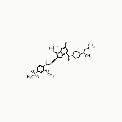 CCCC(C)N1CCC(Nc2cc(F)cc3c2cc(C#CCNc2ccc(S(C)(=O)=O)cc2OC)n3CC(F)(F)F)CC1